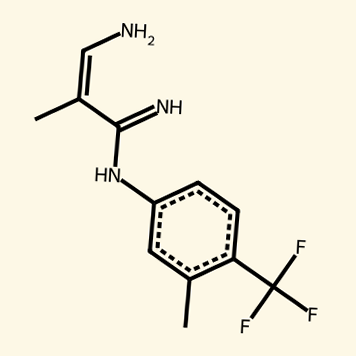 C/C(=C/N)C(=N)Nc1ccc(C(F)(F)F)c(C)c1